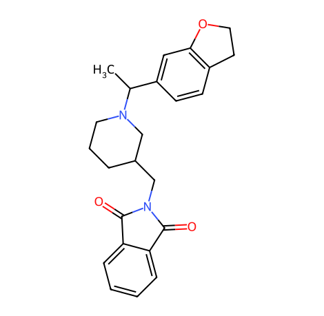 CC(c1ccc2c(c1)OCC2)N1CCCC(CN2C(=O)c3ccccc3C2=O)C1